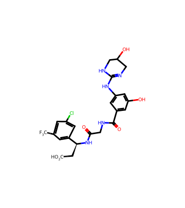 O=C(O)C[C@H](NC(=O)CNC(=O)c1cc(O)cc(NC2=NCC(O)CN2)c1)c1cc(Cl)cc(C(F)(F)F)c1